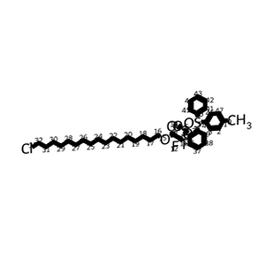 Cc1ccc(S(OS(=O)(=O)C(F)(F)C(=O)OCCCCCCCCCCCCCCCCCCl)(c2ccccc2)c2ccccc2)cc1